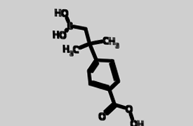 CC(C)(CB(O)O)c1ccc(C(=O)OO)cc1